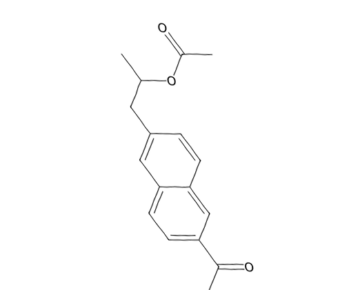 CC(=O)OC(C)Cc1ccc2cc(C(C)=O)ccc2c1